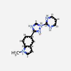 Cn1ccc2cc(-c3ncn(-c4ncccn4)n3)ccc21